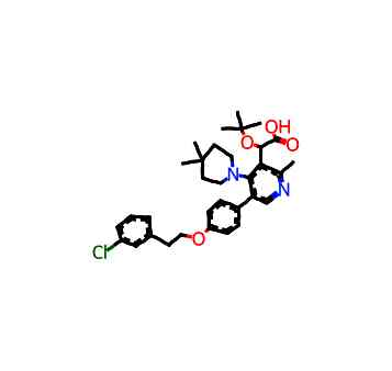 Cc1ncc(-c2ccc(OCCc3cccc(Cl)c3)cc2)c(N2CCC(C)(C)CC2)c1C(OC(C)(C)C)C(=O)O